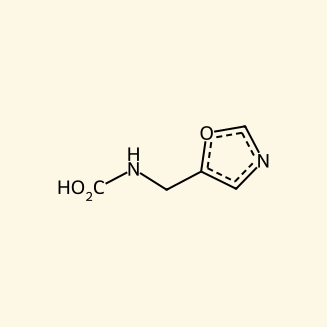 O=C(O)NCc1cnco1